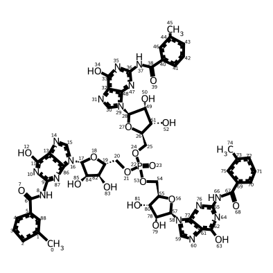 Cc1cccc(C(=O)Nc2nc(O)c3ncn([C@@H]4O[C@H](COP(=O)(OC[C@H]5O[C@@H](n6cnc7c(O)nc(NC(=O)c8cccc(C)c8)nc76)[C@H](O)[C@@H]5O)OC[C@H]5O[C@@H](n6cnc7c(O)nc(NC(=O)c8cccc(C)c8)nc76)[C@H](O)[C@@H]5O)[C@@H](O)[C@H]4O)c3n2)c1